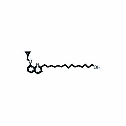 OCCCCCCCCCCCCCCCc1ccc2cccc(OCC3CC3)c2n1